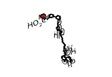 O=C(NCCCCNC[C@H](O)c1ccc(O)c2[nH]c(=O)ccc12)c1ccc(COc2cccc(-c3cccc(CN(C(=O)O)[C@H]4CN5CCC4CC5)c3)c2)o1